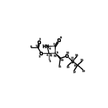 CC(=O)O[C@@]1(C)NC(=O)[C@H]1C(C)O[Si](C)(C)C(C)(C)C